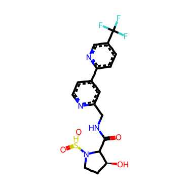 O=C(NCc1cc(-c2ccc(C(F)(F)F)cn2)ccn1)C1[C@@H](O)CCN1[SH](=O)=O